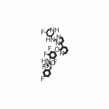 O=S(=O)(Cc1ccc(F)cc1F)Nc1c(F)cc(Oc2ncccc2-c2ccnc(NC3CNC[C@@H](F)C3)n2)c(F)c1F